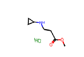 COC(=O)CCNC1CC1.Cl